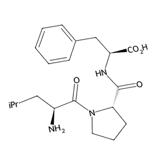 CC(C)C[C@H](N)C(=O)N1CCC[C@H]1C(=O)N[C@@H](Cc1ccccc1)C(=O)O